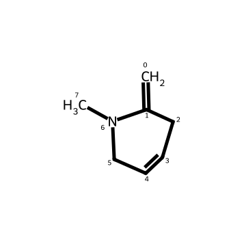 C=C1CC=CCN1C